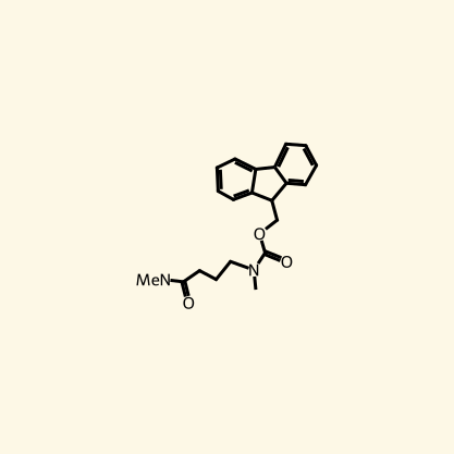 CNC(=O)CCCN(C)C(=O)OCC1c2ccccc2-c2ccccc21